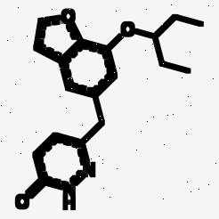 CCC(CC)Oc1cc(Cc2ccc(=O)[nH]n2)cc2ccoc12